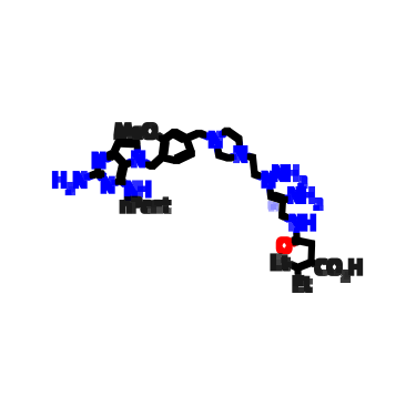 CCCCCNc1nc(N)nc2ccn(Cc3ccc(CN4CCN(CCN(N)/C=C(\N)CNC(=O)CC(C(=O)O)C(CC)CC)CC4)cc3OC)c12